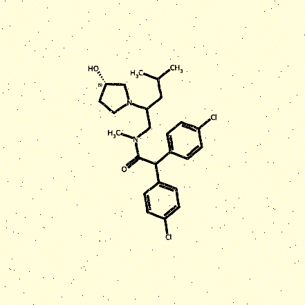 CC(C)CC(CN(C)C(=O)C(c1ccc(Cl)cc1)c1ccc(Cl)cc1)N1CC[C@H](O)C1